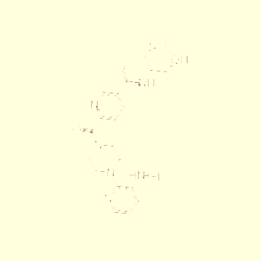 CC(C)Nc1cccnc1N1CCN(C(=O)c2ccc(C(=O)NC(CO)CO)cn2)CC1